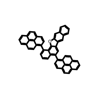 c1ccc2cc3c(cc2c1)oc1c3cc(-c2ccc3ccc4cccc5ccc2c3c45)c2cccc(-c3ccc4ccc5cccc6ccc3c4c56)c21